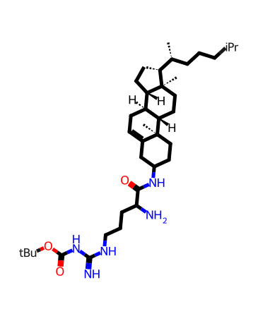 CC(C)CCC[C@@H](C)[C@H]1CC[C@H]2[C@@H]3CC=C4CC(NC(=O)C(N)CCCNC(=N)NC(=O)OC(C)(C)C)CC[C@]4(C)[C@H]3CC[C@]12C